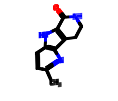 Cc1ccc2[nH]c3c(c2n1)CCNC3=O